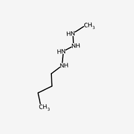 CCCCNNNNC